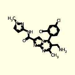 Cc1nc2nc(C(=O)Nc3ccn(C)n3)cn2c(-c2ccc(Cl)cc2Cl)c1CN